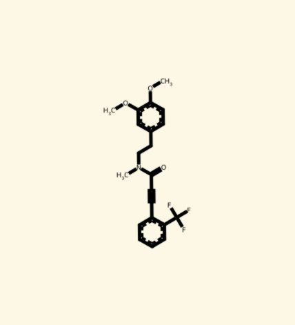 COc1ccc(CCN(C)C(=O)C#Cc2ccccc2C(F)(F)F)cc1OC